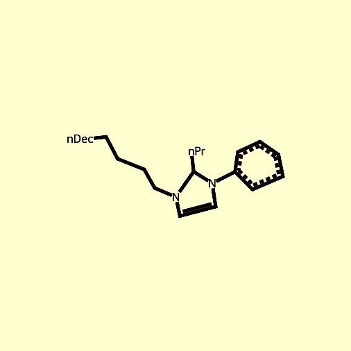 CCCCCCCCCCCCCCN1C=CN(c2ccccc2)C1CCC